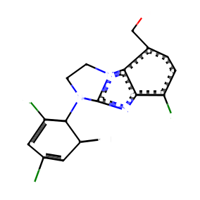 CC1C=C(Cl)C=C(Cl)C1N1CCn2c1nc1c(Cl)ccc(CO)c12